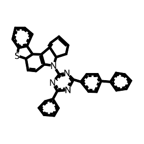 C1=CCC2C(=C1)C1=C(C=CC3Sc4ccccc4C13)N2c1nc(-c2ccccc2)nc(-c2ccc(-c3ccccc3)cc2)n1